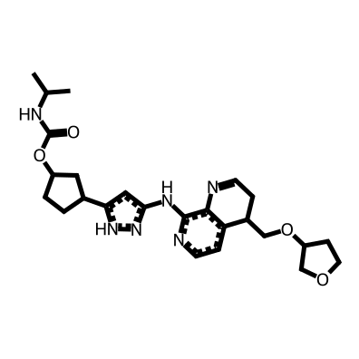 CC(C)NC(=O)OC1CCC(c2cc(Nc3nccc4c3N=CCC4COC3CCOC3)n[nH]2)C1